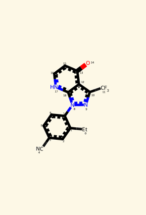 CCc1cc(C#N)ccc1-n1nc(C(F)(F)F)c2c(=O)cc[nH]c21